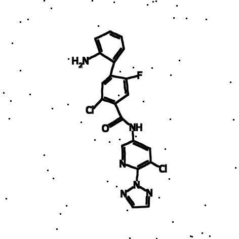 Nc1ccccc1-c1cc(Cl)c(C(=O)Nc2cnc(-n3nccn3)c(Cl)c2)cc1F